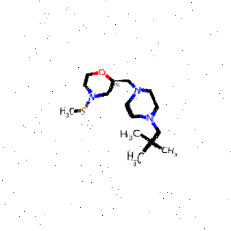 CSN1CCO[C@@H](CN2CCN(CC(C)(C)C)CC2)C1